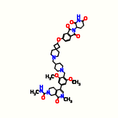 CNC(=O)N1CCc2c(-c3cc(OC)c(CN4CCC(CN5CCC6(CC5)CC(Oc5ccc7c(c5)C(=O)N(C5CCC(=O)NC5=O)C7=O)C6)CC4)c(OC)c3)cn(C)c(=O)c2C1